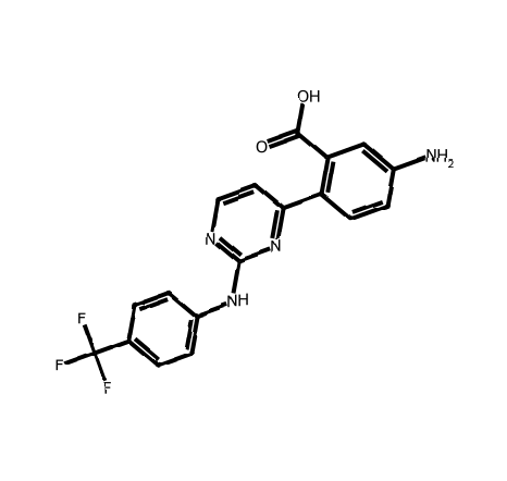 Nc1ccc(-c2ccnc(Nc3ccc(C(F)(F)F)cc3)n2)c(C(=O)O)c1